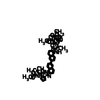 COC(=O)N[C@H](C(=O)N1CCC[C@H]1c1nc2ccc3cc(-c4ccc5c(c4)CCc4nc([C@H](C)N(CC6(C)OCCO6)C(=O)[C@@H](NC(=O)OC)[C@@H](C)OC)[nH]c4-5)ccc3c2[nH]1)C(C)C